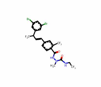 CN(NC(=O)c1ccc(/C=C/C(c2cc(Br)cc(Br)c2)C(F)(F)F)cc1C(F)(F)F)C(=O)NCC(F)(F)F